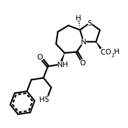 O=C(N[C@H]1CCC[C@H]2SC[C@@H](C(=O)O)N2C1=O)C(CS)Cc1ccccc1